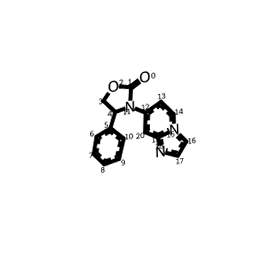 O=C1OCC(c2ccccc2)N1c1ccn2ccnc2c1